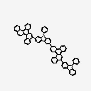 c1ccc(-n2c3ccccc3c3ccc(-c4cc5c6ccccc6c6cc(-c7ccc8c(c7)c7ccc(-c9cc%10c%11ccccc%11c%11c%12ccccc%12ccc%11c%10c%10ccccc9%10)cc7n8-c7ccccc7)ccc6c5c5ccccc45)cc32)cc1